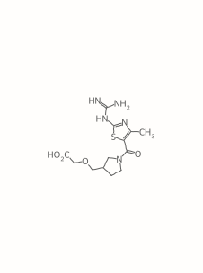 Cc1nc(NC(=N)N)sc1C(=O)N1CCC(COCC(=O)O)C1